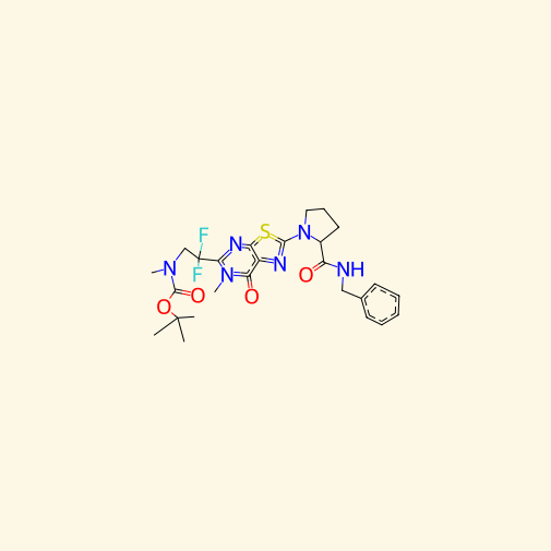 CN(CC(F)(F)c1nc2sc(N3CCCC3C(=O)NCc3ccccc3)nc2c(=O)n1C)C(=O)OC(C)(C)C